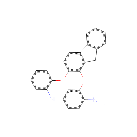 Nc1ccccc1Oc1ccc2c(c1Oc1ccccc1N)Cc1ccccc1-2